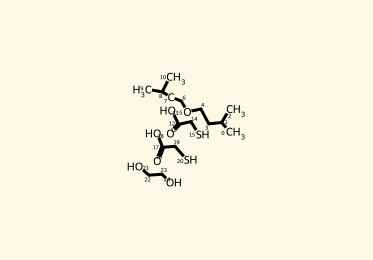 CC(C)CCOCCC(C)C.O=C(O)CS.O=C(O)CS.OCCO